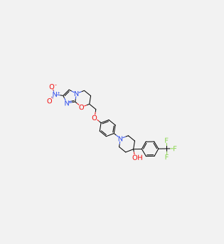 O=[N+]([O-])c1cn2c(n1)OC(COc1ccc(N3CCC(O)(c4ccc(C(F)(F)F)cc4)CC3)cc1)CC2